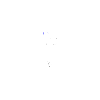 C=CCN1CCC[C@H]2c3cc(N)ccc3CC[C@@H]21